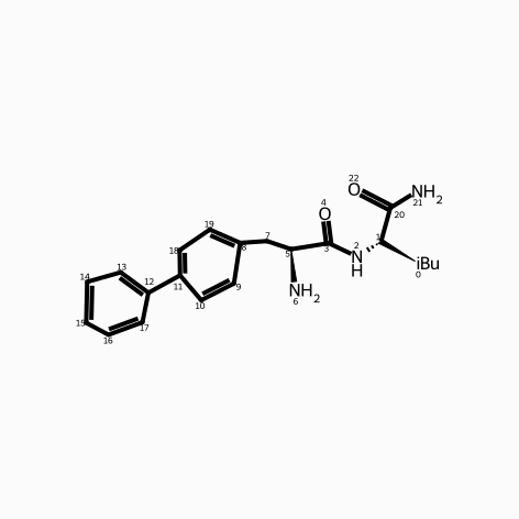 CC[C@H](C)[C@H](NC(=O)[C@@H](N)Cc1ccc(-c2ccccc2)cc1)C(N)=O